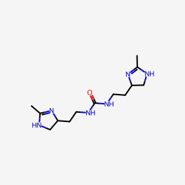 CC1=NC(CCNC(=O)NCCC2CNC(C)=N2)CN1